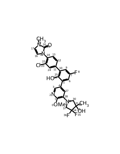 COc1ncc(-c2cc(F)cc(-c3ccc(-n4ccn(C)c4=O)c(Cl)c3)c2O)cc1N1CC(C)(O)C(F)(F)C1